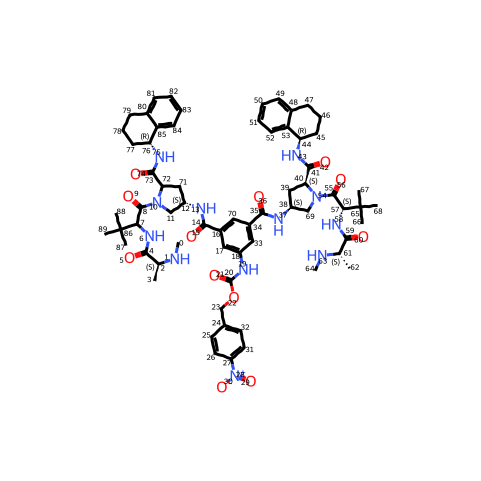 CN[C@@H](C)C(=O)NC(C(=O)N1C[C@@H](NC(=O)c2cc(NC(=O)OCc3ccc([N+](=O)[O-])cc3)cc(C(=O)N[C@H]3C[C@@H](C(=O)N[C@@H]4CCCc5ccccc54)N(C(=O)[C@@H](NC(=O)[C@H](C)NC)C(C)(C)C)C3)c2)CC1C(=O)N[C@@H]1CCCc2ccccc21)C(C)(C)C